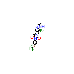 CC(C)Nc1nccc(CN2C(=O)N(c3ccc(SC(F)(F)F)cc3)C(=O)C2(C)C)c1Br